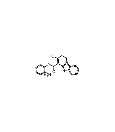 Nc1ccccc1NC(=O)C1=C(O)CCn2c1nc1ccccc12